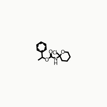 CC(OC(=O)NC1(Cl)CCCCO1)c1ccccc1